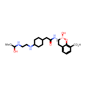 COC(O)NCCNC1CCC(CC(=O)N[C@H]2Cc3cccc(C(=O)O)c3OB2O)CC1